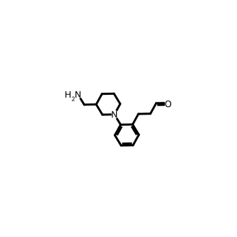 NCC1CCCN(c2ccccc2CCC=O)C1